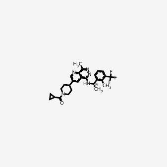 Cc1c([C@@H](C)Nc2nnc(C)c3ncc(C4CCN(C(=O)C5CC5)CC4)cc23)cccc1C(F)(F)F